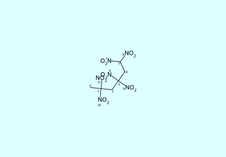 CC(CC(CC([N+](=O)[O-])[N+](=O)[O-])([N+](=O)[O-])[N+](=O)[O-])([N+](=O)[O-])[N+](=O)[O-]